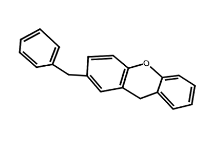 c1ccc(Cc2ccc3c(c2)Cc2ccccc2O3)cc1